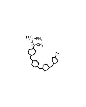 CCC1CCC(CC2CCC(CC3CCC(CC4CCC(/S(C)=P/P(P)P)CC4)CC3)CC2)CC1